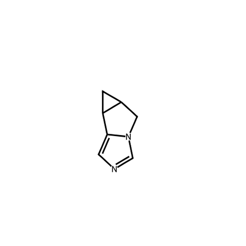 c1ncn2c1C1CC1C2